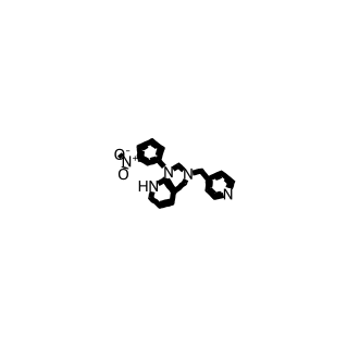 O=[N+]([O-])c1cccc(N2CN(Cc3ccncc3)CC3=C2NCC=C3)c1